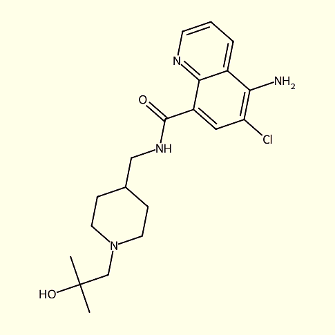 CC(C)(O)CN1CCC(CNC(=O)c2cc(Cl)c(N)c3cccnc23)CC1